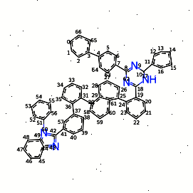 c1ccc(-c2ccc(C3=NC(c4ccccc4)NC(c4ccccc4-c4cccc5c(-c6ccccc6-c6cccc(-c7nc8ccccc8n7-c7ccccc7)c6)cccc45)=N3)cc2)cc1